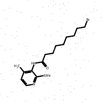 CSc1nccc(C)c1NC(=O)CCCCCCCCBr